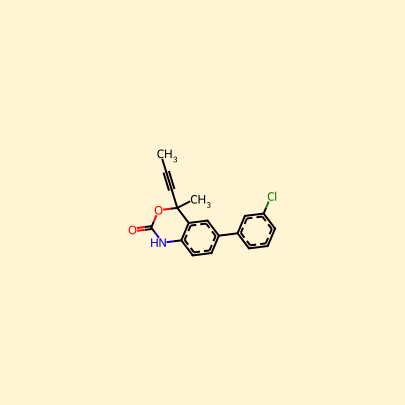 CC#CC1(C)OC(=O)Nc2ccc(-c3cccc(Cl)c3)cc21